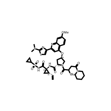 C=C[C@@H]1C[C@]1(NC(=O)[C@@H]1C[C@@H](Oc2cc(-c3csc(N(C)C)n3)nc3cc(OC)ccc23)CN1C(=O)C(CC(=O)N1CCCCC1)C(C)(C)C)C(=O)NS(=O)(=O)C1CC1